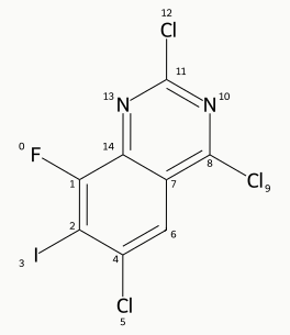 Fc1c(I)c(Cl)cc2c(Cl)nc(Cl)nc12